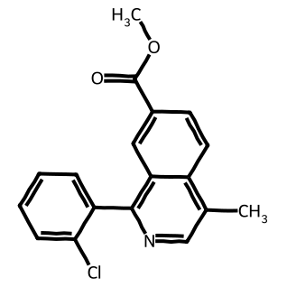 COC(=O)c1ccc2c(C)cnc(-c3ccccc3Cl)c2c1